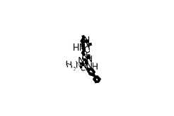 CCn1nc(C)cc1NC(=O)Cn1cnc2c(NC3(Cl)C=CC(c4ccccc4)=CC3)nc(N)nc21